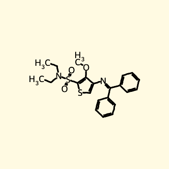 CCN(CC)S(=O)(=O)c1scc(N=C(c2ccccc2)c2ccccc2)c1OC